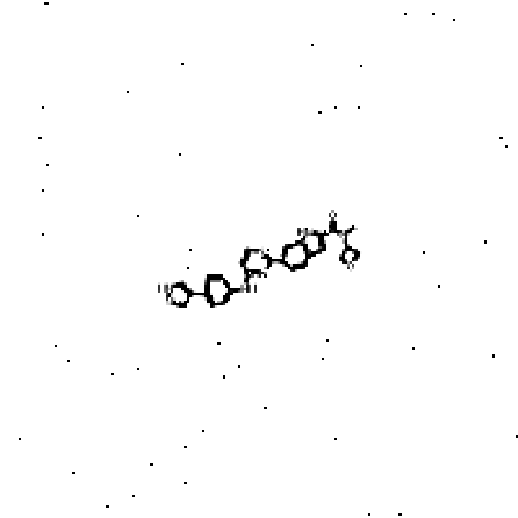 CN(C(=O)c1cc2c([nH]1)CC(c1nccc(Nc3ccc(-c4cn[nH]c4)cc3)n1)C=C2)C1COC1